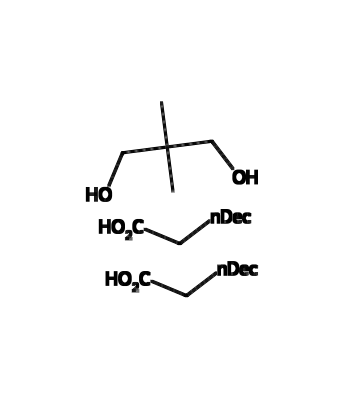 CC(C)(CO)CO.CCCCCCCCCCCC(=O)O.CCCCCCCCCCCC(=O)O